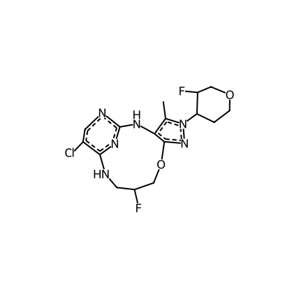 Cc1c2c(nn1C1CCOCC1F)OCC(F)CNc1nc(ncc1Cl)N2